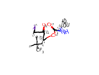 CC(C)(C)NC(=O)O[C@@H](CC(C)(C)C(F)(F)F)C(=O)CI